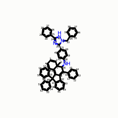 CC12C=CC=CC1=C1C(=C(c3ccccc3)C2Nc2ccc([C@H]3N=C(c4ccccc4)NN3Cc3ccccc3)cc2)c2ccccc2C1(c1ccccc1)c1ccccc1